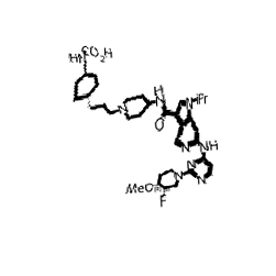 CO[C@@H]1CCN(c2nccc(Nc3cc4c(cn3)c(C(=O)NC3CCN(CCC[C@H]5CC[C@H](NC(=O)O)CC5)CC3)cn4C(C)C)n2)C[C@@H]1F